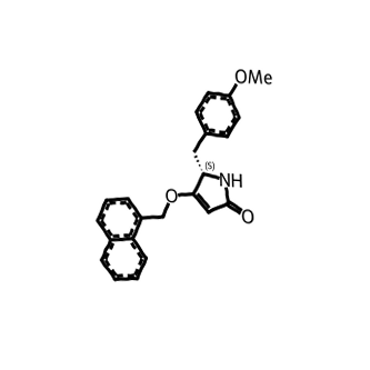 COc1ccc(C[C@@H]2NC(=O)C=C2OCc2cccc3ccccc23)cc1